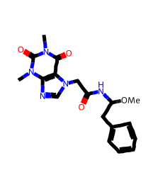 COC(Cc1ccccc1)NC(=O)Cn1cnc2c1c(=O)n(C)c(=O)n2C